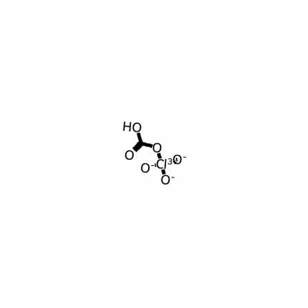 O=C(O)O[Cl+3]([O-])([O-])[O-]